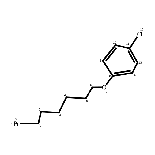 C[C](C)CCCCCCOc1ccc(Cl)cc1